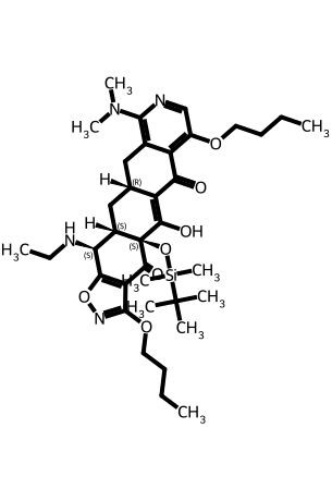 CCCCOc1cnc(N(C)C)c2c1C(=O)C1=C(O)[C@]3(O[Si](C)(C)C(C)(C)C)C(=O)c4c(OCCCC)noc4[C@@H](NCC)[C@@H]3C[C@@H]1C2